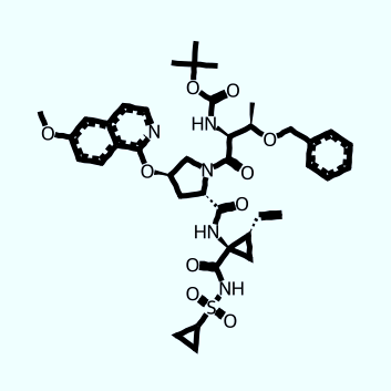 C=C[C@@H]1C[C@]1(NC(=O)[C@@H]1C[C@@H](Oc2nccc3cc(OC)ccc23)CN1C(=O)[C@@H](NC(=O)OC(C)(C)C)[C@@H](C)OCc1ccccc1)C(=O)NS(=O)(=O)C1CC1